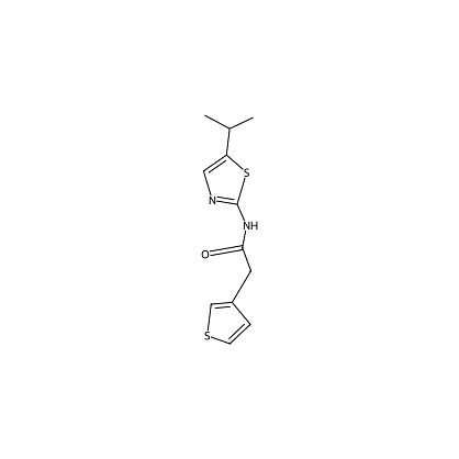 CC(C)c1cnc(NC(=O)Cc2ccsc2)s1